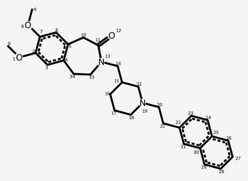 COc1cc2c(cc1OC)CC(=O)N(CC1CCCN(CCc3ccc4ccccc4c3)C1)CC2